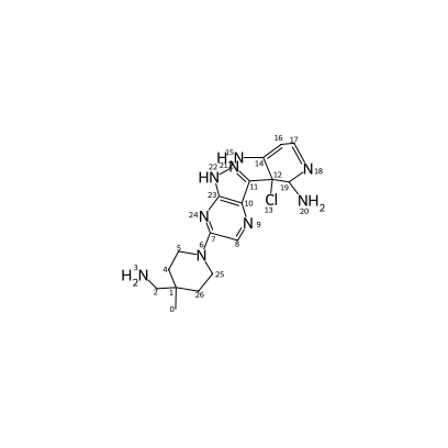 CC1(CN)CCN(c2cnc3c(C4(Cl)C(N)=CC=NC4N)n[nH]c3n2)CC1